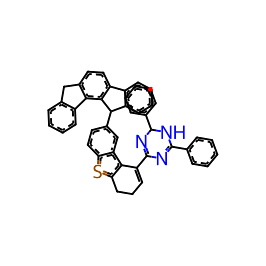 C1=C(C2=NC(c3ccccc3)NC(c3ccccc3)=N2)c2c(sc3ccc(C4c5ccccc5-c5ccc6c(c54)-c4ccccc4C6)cc23)CC1